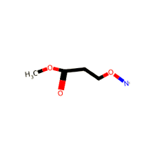 COC(=O)CCO[N]